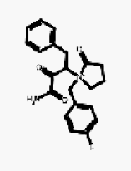 NC(=O)C(=O)C(Cc1ccccc1)[N+]1(Cc2ccc(F)cc2)CCCC1=O